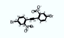 O=[N+]([O-])c1cc(Br)ccc1C#Cc1ccc(Br)cc1[N+](=O)[O-]